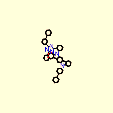 c1ccc(-c2ccc(-n3c4ccccc4c4cc5c(cc43)c3ccccc3n5-c3ccccc3-c3nc(-c4ccccc4)nc(-c4cccc(-c5ccccc5)c4)n3)cc2)cc1